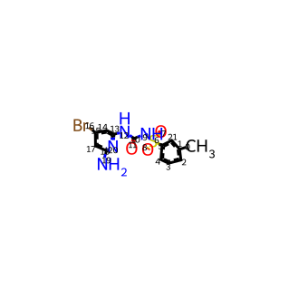 Cc1cccc(S(=O)(=O)NC(=O)Nc2cc(Br)cc(N)n2)c1